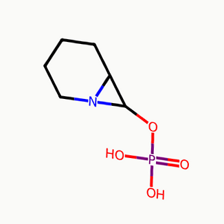 O=P(O)(O)OC1C2CCCCN21